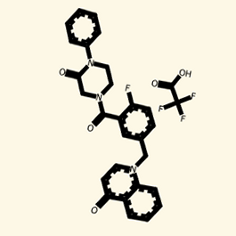 O=C(O)C(F)(F)F.O=C(c1cc(Cn2ccc(=O)c3ccccc32)ccc1F)N1CCN(c2ccccc2)C(=O)C1